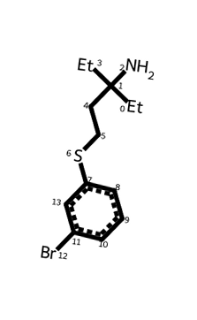 CCC(N)(CC)CCSc1cccc(Br)c1